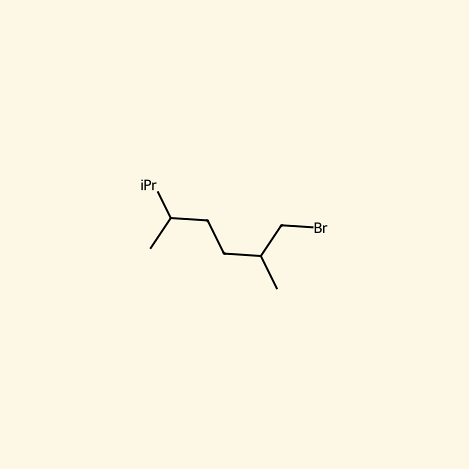 CC(CBr)CCC(C)C(C)C